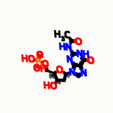 CC(=O)Nc1nc2c(ncn2[C@H]2C[C@H](O)[C@@H](COP(=O)(O)O)O2)c(=O)[nH]1